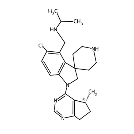 CC(C)NCc1c(Cl)ccc2c1C1(CCNCC1)CN2c1ncnc2c1[C@H](C)CC2